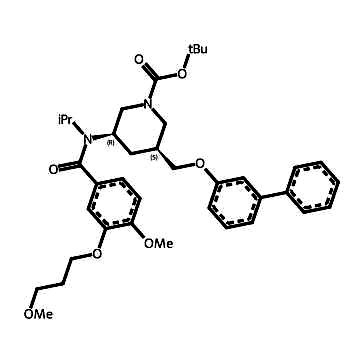 COCCCOc1cc(C(=O)N(C(C)C)[C@@H]2C[C@H](COc3cccc(-c4ccccc4)c3)CN(C(=O)OC(C)(C)C)C2)ccc1OC